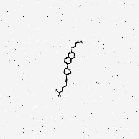 C=CCOc1ccc2cc(-c3ccc(C#CCCCC(C)F)cn3)ccc2c1